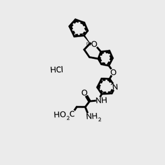 Cl.NC(CC(=O)O)C(=O)Nc1ccc(Oc2ccc3c(c2)CC[C@@H](c2ccccc2)O3)nc1